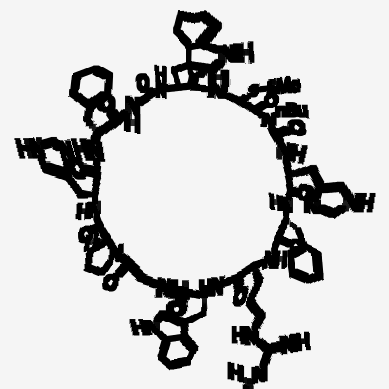 CCCCN1C(=O)N[C@@H](Cc2c[nH]cn2)C(=O)N[C@H](Cc2ccccc2)C(=O)N[C@@H](CCCNC(=N)N)C(=O)N[C@@H](Cc2c[nH]c3ccccc23)C(=O)NCC(=O)N2CCC[C@H]2C(=O)N[C@@H](Cc2c[nH]cn2)C(=O)N[C@H](Cc2ccccc2)C(=O)NC(=O)N[C@@H](Cc2c[nH]c3ccccc23)C(=O)NC(SSC)C1=O